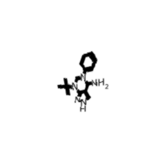 CC(C)(C)N1CN(c2ccccc2)C(N)c2c[nH]nc21